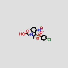 Cc1c(S(=O)(=O)c2ccc(Cl)cc2)c2c([N+](=O)[O-])cccc2n1CC(=O)O